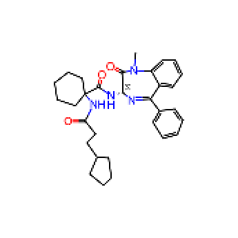 CN1C(=O)[C@@H](NC(=O)C2(NC(=O)CCC3CCCC3)CCCCC2)N=C(c2ccccc2)c2ccccc21